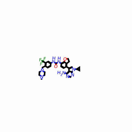 CN1CCN(Cc2ccc(NC(=O)Nc3ccc(-c4cn(C5CC5)c5ncnc(N)c45)c4c3OCC4)cc2C(F)(F)F)CC1